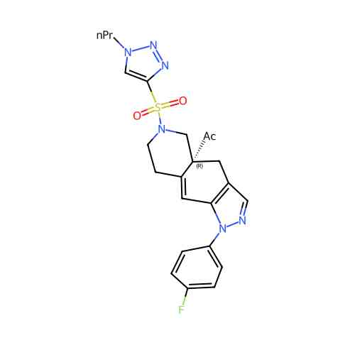 CCCn1cc(S(=O)(=O)N2CCC3=Cc4c(cnn4-c4ccc(F)cc4)C[C@]3(C(C)=O)C2)nn1